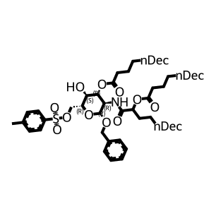 CCCCCCCCCCCCCC(=O)OC(CCCCCCCCCCCC)C(=O)N[C@H]1[C@H](OCc2ccccc2)O[C@H](COS(=O)(=O)c2ccc(C)cc2)[C@@H](O)[C@@H]1OC(=O)CCCCCCCCCCCCC